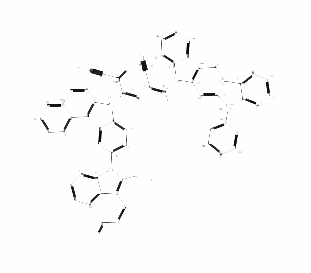 C=C/C=C\c1c(C)n(-c2ccc3c(c2)c2c4ccccc4ccc2n3/C(=C/C(C#N)=C(\C)n2c3c(c4ccccc42)CC2C(=C3)N(c3ccccc3)c3ccccc32)C(=C)C#N)c2ccccc12